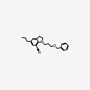 CCCc1cc(C#N)c2c(c1)CCN2CCCOCc1ccccc1